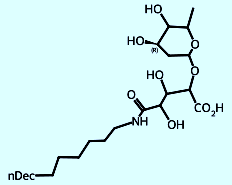 CCCCCCCCCCCCCCCCNC(=O)C(O)C(O)C(OC1C[C@@H](O)C(O)C(C)O1)C(=O)O